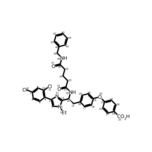 CCn1cc(-c2ccc(Cl)cc2Cl)nc1[C@H](Cc1ccc(Oc2ccc(C(=O)O)cc2)cc1)NC(=O)CCCC(=O)NCc1ccccc1